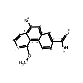 COc1nccc2c(Br)cc3cc(C(=O)O)ccc3c12